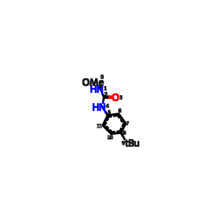 CONC(=O)Nc1ccc(C(C)(C)C)cc1